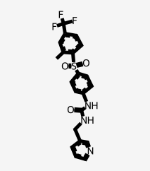 Cc1cc(C(F)(F)F)ccc1S(=O)(=O)c1ccc(NC(=O)NCc2cccnc2)cc1